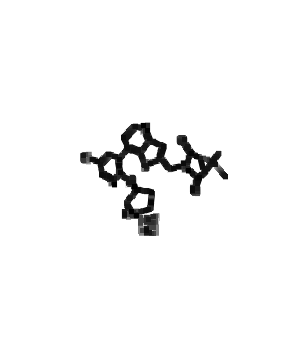 CC1(C)C2C(=O)N(Cc3cc4nccc(-c5cc(Cl)cnc5O[C@H]5CCNC5)c4s3)C(=O)C21.Cl.Cl